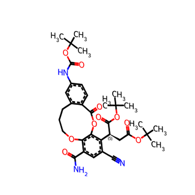 CC(C)(C)OC(=O)C[C@H](C(=O)OC(C)(C)C)c1c(C#N)cc(C(N)=O)c2c1OC(=O)c1ccc(NC(=O)OC(C)(C)C)cc1CCCO2